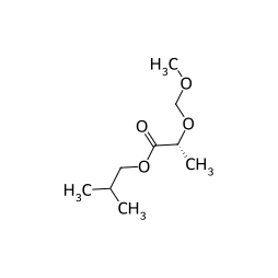 COCO[C@H](C)C(=O)OCC(C)C